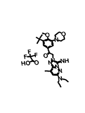 CCN(CC)c1cc(C)c2nn(CC(=O)c3cc(N4CCOCC4)c(OC)c(C(C)(C)C)c3)c(=N)n2n1.O=C(O)C(F)(F)F